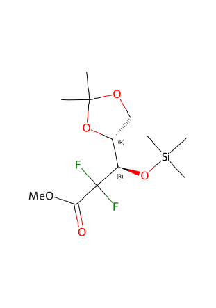 COC(=O)C(F)(F)[C@H](O[Si](C)(C)C)[C@H]1COC(C)(C)O1